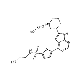 O=CO.O=S(=O)(NCCO)c1ccc(-c2ccnc3[nH]c(C4CCCNC4)cc23)s1